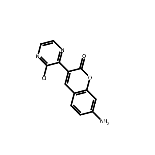 Nc1ccc2cc(-c3nccnc3Cl)c(=O)oc2c1